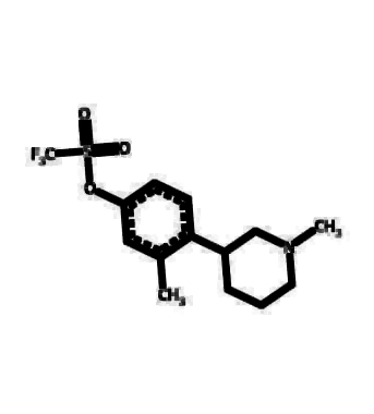 Cc1cc(OS(=O)(=O)C(F)(F)F)ccc1C1CCCN(C)C1